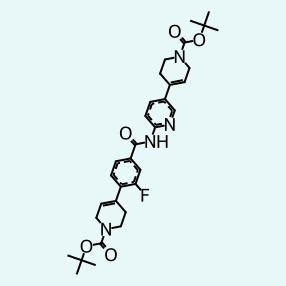 CC(C)(C)OC(=O)N1CC=C(c2ccc(NC(=O)c3ccc(C4=CCN(C(=O)OC(C)(C)C)CC4)c(F)c3)nc2)CC1